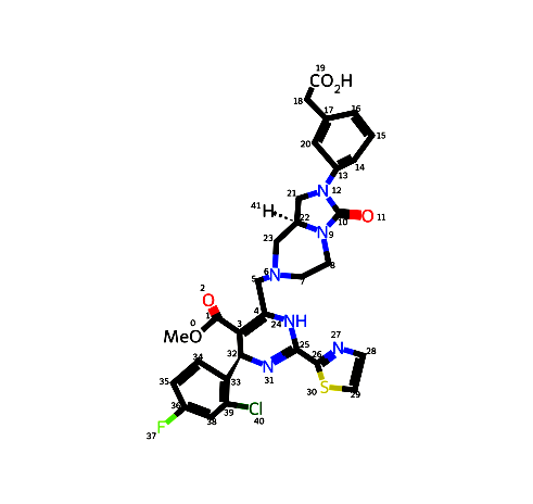 COC(=O)C1=C(CN2CCN3C(=O)N(c4cccc(CC(=O)O)c4)C[C@@H]3C2)NC(c2nccs2)=N[C@H]1c1ccc(F)cc1Cl